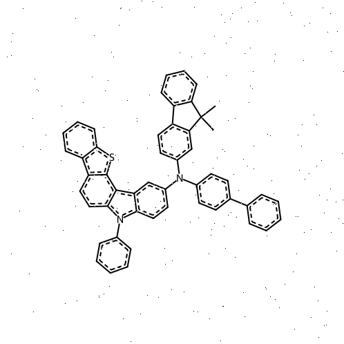 CC1(C)c2ccccc2-c2ccc(N(c3ccc(-c4ccccc4)cc3)c3ccc4c(c3)c3c5sc6ccccc6c5ccc3n4-c3ccccc3)cc21